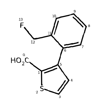 O=C(O)c1sccc1-c1ccccc1CF